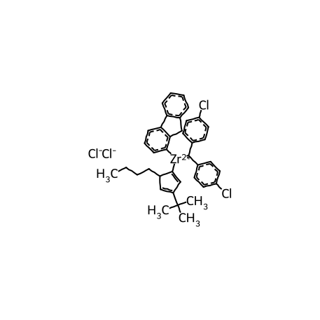 CCCCC1C=C(C(C)(C)C)C=[C]1[Zr+2](=[C](c1ccc(Cl)cc1)c1ccc(Cl)cc1)[c]1cccc2c1Cc1ccccc1-2.[Cl-].[Cl-]